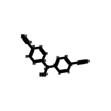 N#Cc1ccc(B(O)c2ccc(C#N)cc2)cc1